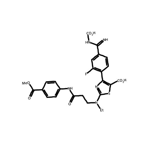 CCN(CCC(=O)Nc1ccc(C(=O)OC)cc1)c1nc(-c2ccc(C(=N)NC(=O)O)cc2F)c(C(=O)O)s1